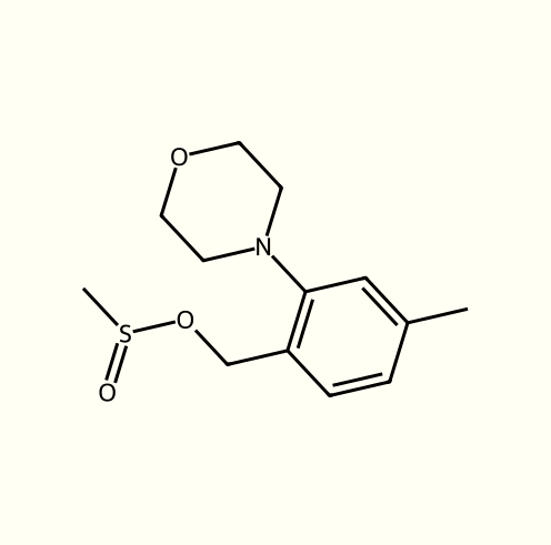 Cc1ccc(COS(C)=O)c(N2CCOCC2)c1